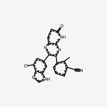 Cc1c(C#N)cccc1-c1nc2[nH]c(=O)ccc2nc1-c1cc(Cl)c2nc[nH]c2c1